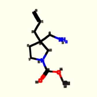 C=CCC1(CN)CCN(C(=O)OC(C)(C)C)C1